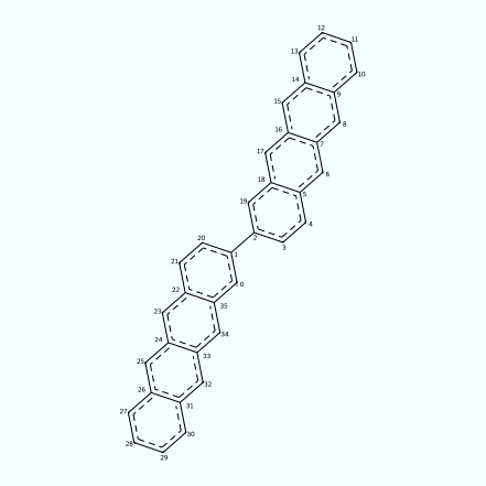 [c]1c(-c2ccc3cc4cc5ccccc5cc4cc3c2)ccc2cc3cc4ccccc4cc3cc12